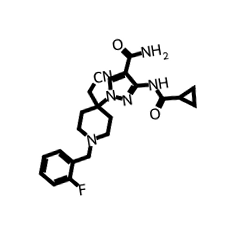 N#CCC1(n2cc(C(N)=O)c(NC(=O)C3CC3)n2)CCN(Cc2ccccc2F)CC1